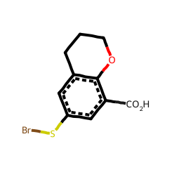 O=C(O)c1cc(SBr)cc2c1OCCC2